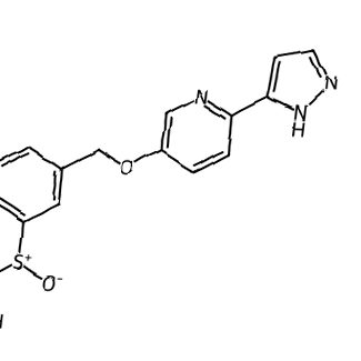 N=C[S+]([O-])c1cccc(COc2ccc(-c3ccn[nH]3)nc2)c1